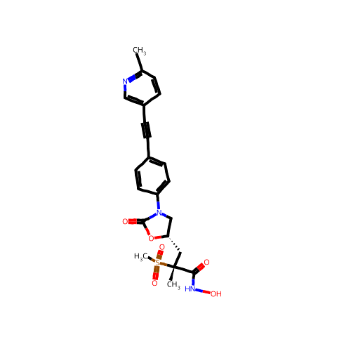 Cc1ccc(C#Cc2ccc(N3C[C@H](C[C@](C)(C(=O)NO)S(C)(=O)=O)OC3=O)cc2)cn1